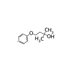 CC(C)(O)CCOc1cc[c]cc1